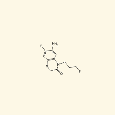 Nc1cc2c(cc1F)OCC(=O)N2CCCF